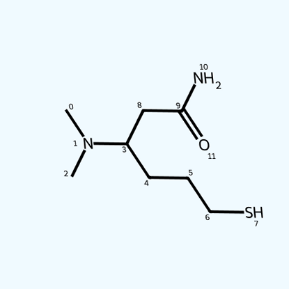 CN(C)C(CCCS)CC(N)=O